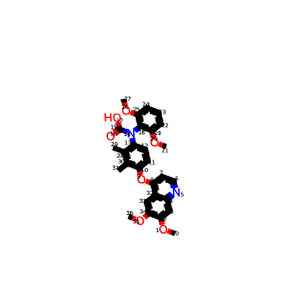 COc1cc2nccc(Oc3ccc(N(C(=O)O)c4c(OC)cccc4OC)c(C)c3C)c2cc1OC